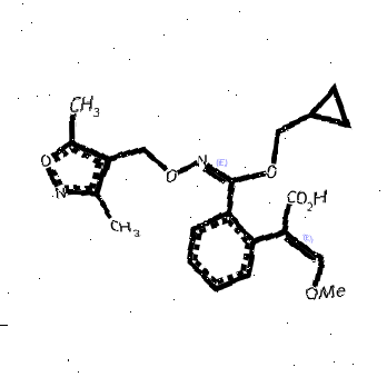 CO/C=C(/C(=O)O)c1ccccc1/C(=N\OCc1c(C)noc1C)OCC1CC1